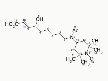 CC(=O)N(CCCCCC(O)/C=C/C(=O)O)C1CC(C)(C)N([O])C(C)(C)C1